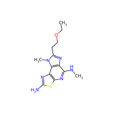 CCOCCc1nc2c(NC)nc3sc(N)nc3c2n1C